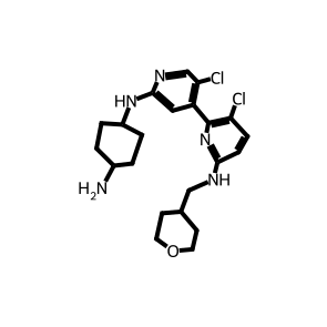 NC1CCC(Nc2cc(-c3nc(NCC4CCOCC4)ccc3Cl)c(Cl)cn2)CC1